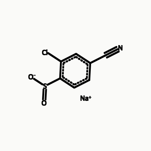 N#Cc1ccc(S(=O)[O-])c(Cl)c1.[Na+]